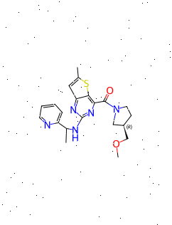 COC[C@@H]1CCN(C(=O)c2nc(NC(C)c3ccccn3)nc3cc(C)sc23)C1